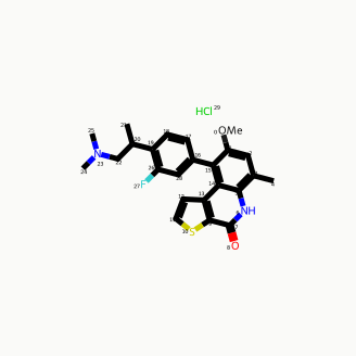 COc1cc(C)c2[nH]c(=O)c3sccc3c2c1-c1ccc(C(C)CN(C)C)c(F)c1.Cl